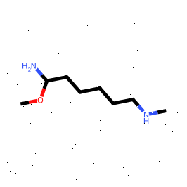 CNCCCCCC(N)OC